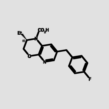 CC[C@H]1COc2ncc(Cc3ccc(F)cc3)cc2N1C(=O)O